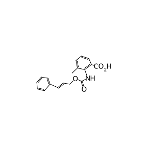 Cc1cccc(C(=O)O)c1NC(=O)OCC=Cc1ccccc1